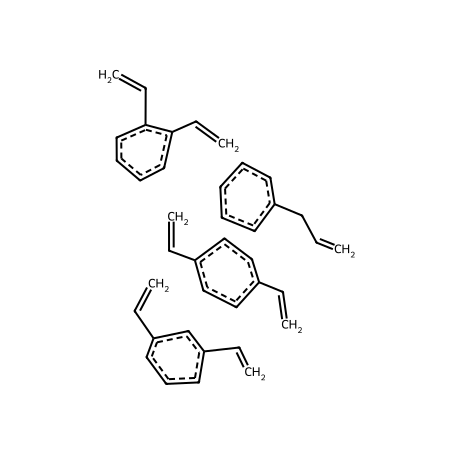 C=CCc1ccccc1.C=Cc1ccc(C=C)cc1.C=Cc1cccc(C=C)c1.C=Cc1ccccc1C=C